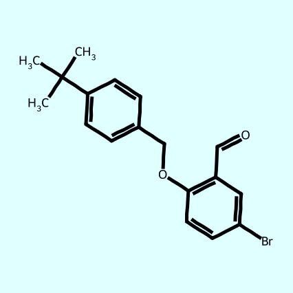 CC(C)(C)c1ccc(COc2ccc(Br)cc2C=O)cc1